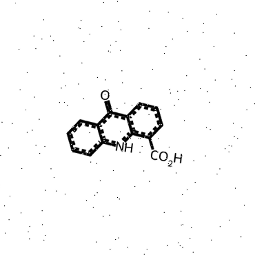 O=C(O)c1cccc2c(=O)c3ccccc3[nH]c12